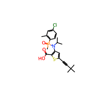 Cc1cc(Cl)ccc1P(C)(=O)N(c1cc(C#CC(C)(C)C)sc1C(=O)O)C(C)C